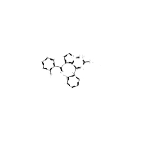 Nc1nc2c3c(ccn3n1)C(c1ccccc1Cl)=Nc1ccccc1-2